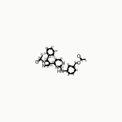 CC(=O)OCc1cccc(Nc2nccc(-c3cnn(C(C)=O)c3-c3ccccc3)n2)c1